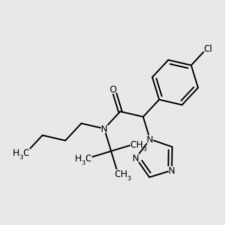 CCCCN(C(=O)C(c1ccc(Cl)cc1)n1cncn1)C(C)(C)C